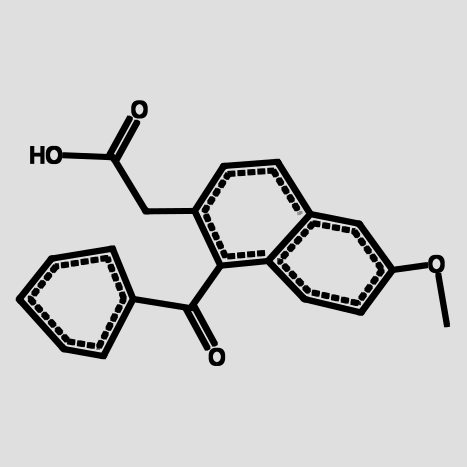 COc1ccc2c(C(=O)c3ccccc3)c(CC(=O)O)ccc2c1